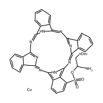 CCCCCCCCCCCC(N)OS(=O)(=O)c1cccc2c3nc4nc(nc5[nH]c(nc6nc(nc([nH]3)c12)-c1ccccc1-6)c1ccccc51)-c1ccccc1-4.[Cu]